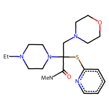 CCN1CCN(C(CN2CCOCC2)(Sc2ccccn2)C(=O)NC)CC1